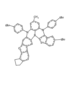 Cc1cc2c3c(c1)N(c1ccc(C(C)(C)C)cc1)c1c(sc4ccc(C(C)(C)C)cc14)B3c1cc3c(cc1N2c1ccc(C(C)(C)C)cc1)oc1c2c(ccc13)CCC2